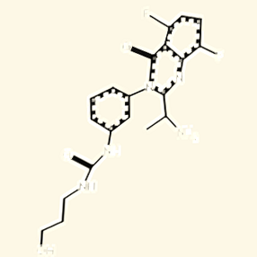 CC(N)c1nc2c(F)ccc(F)c2c(=O)n1-c1cccc(NC(=O)NCCCO)c1